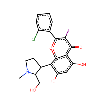 CN1CCC(c2c(O)cc(O)c3c(=O)c(I)c(-c4ccccc4Cl)oc23)C1CO